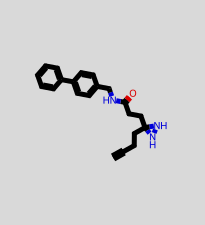 C#CCCC1(CCC(=O)NCc2ccc(-c3ccccc3)cc2)NN1